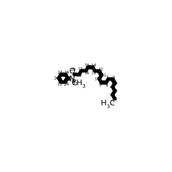 CCCCC/C=C\C/C=C\C/C=C\C/C=C\CCCC(=O)N(C)c1ccccc1